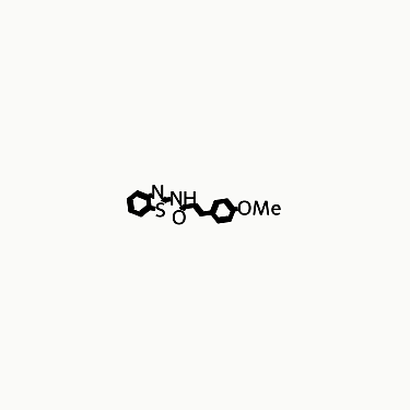 COc1ccc(C=CC(=O)Nc2nc3ccccc3s2)cc1